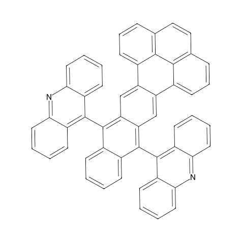 c1ccc2c(-c3c4ccccc4c(-c4c5ccccc5nc5ccccc45)c4cc5c(cc34)c3cccc4ccc6cccc5c6c43)c3ccccc3nc2c1